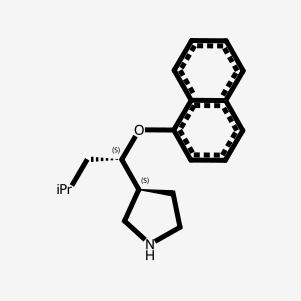 CC(C)C[C@H](Oc1cccc2ccccc12)[C@H]1CCNC1